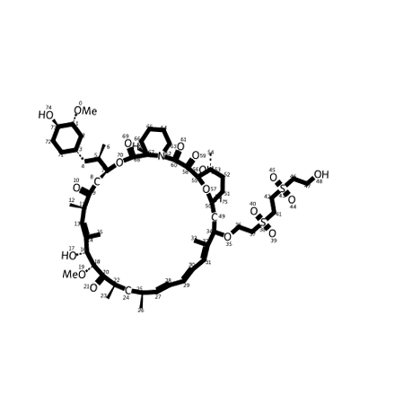 CO[C@@H]1C[C@H](C[C@@H](C)[C@@H]2CC(=O)[C@H](C)/C=C(\C)[C@@H](O)[C@@H](OC)C(=O)[C@H](C)C[C@H](C)/C=C/C=C/C=C(\C)C(OCCS(=O)(=O)CCS(=O)(=O)CCO)C[C@@H]3CC[C@@H](C)[C@@](O)(O3)C(=O)C(=O)N3CCCC[C@H]3C(=O)O2)CC[C@H]1O